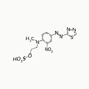 CN(CCOS(=O)(=O)O)c1ccc(N=Nc2nncs2)cc1[N+](=O)[O-]